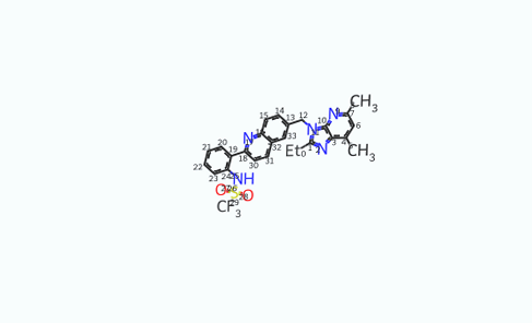 CCc1nc2c(C)cc(C)nc2n1Cc1ccc2nc(-c3ccccc3NS(=O)(=O)C(F)(F)F)ccc2c1